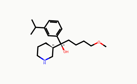 COCCCC[C@@](O)(c1cccc(C(C)C)c1)[C@@H]1CCCNC1